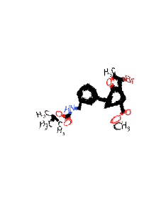 COC(=O)c1cc(-c2cccc(CNC(=O)OC(C)(C)C)c2)c2oc(C)c(Br)c2c1